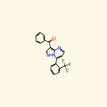 O=C(c1ccccc1)c1cnn2c(-c3ccccc3C(F)(F)F)ccnc12